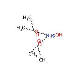 CCCCCCCCC(CCCCCC)COC(=O)CCCCCN(CCCCCC(=O)OCC(CCCCCC)CCCCCCCC)CCN1CC(O)C1